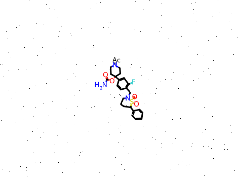 CC(=O)N1CCC(OC(N)=O)(c2ccc(CN3[C@@H](C)CCC(c4ccccc4)S3(=O)=O)c(F)c2)CC1